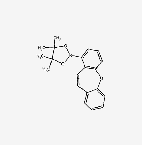 CC1(C)OB(c2cccc3c2C=Cc2ccccc2O3)OC1(C)C